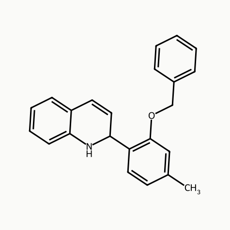 Cc1ccc(C2C=Cc3ccccc3N2)c(OCc2ccccc2)c1